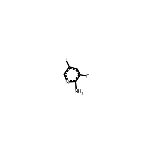 Nc1ncc(I)cc1F